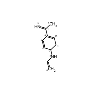 C=CNC1C=CC(C(C)=N)=CC1